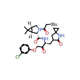 CC(C)(C)CC(=O)N1C[C@H]2[C@@H]([C@H]1C(=O)N[C@@H](CC1CC3(CC3)NC1=O)C(=O)COc1cccc(Cl)c1)C2(C)C